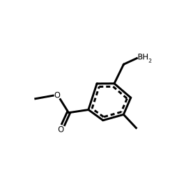 BCc1cc(C)cc(C(=O)OC)c1